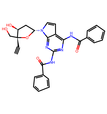 C#C[C@]1(CO)O[C@@H](n2ccc3c(NC(=O)c4ccccc4)nc(NC(=O)c4ccccc4)nc32)C[C@@H]1O